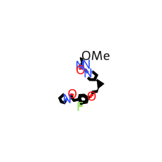 COCc1noc(N2CCC([C@H]3C[C@H]3CCOc3ccc(CC(=O)N4CCCC4)c(F)c3)CC2)n1